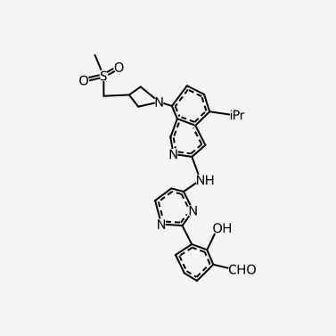 CC(C)c1ccc(N2CC(CS(C)(=O)=O)C2)c2cnc(Nc3ccnc(-c4cccc(C=O)c4O)n3)cc12